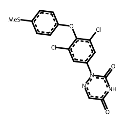 CSc1ccc(Oc2c(Cl)cc(-n3ncc(=O)[nH]c3=O)cc2Cl)cc1